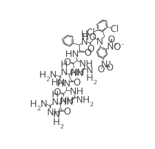 N=C(N)NC(NC(=O)C(NC(=N)N)NC(=O)C(NC(=N)N)NC(=O)C(NC(=N)N)NC(=O)C(NC(=O)C(O)N(Cc1c(Cl)cccc1Cl)c1ccc([N+](=O)[O-])cc1[N+](=O)[O-])c1ccccc1)C(N)=O